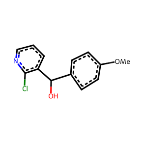 COc1ccc(C(O)c2cccnc2Cl)cc1